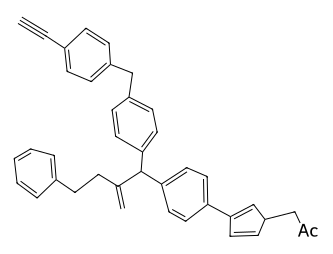 C#Cc1ccc(Cc2ccc(C(C(=C)CCc3ccccc3)c3ccc(C4=CC(CC(C)=O)C=C4)cc3)cc2)cc1